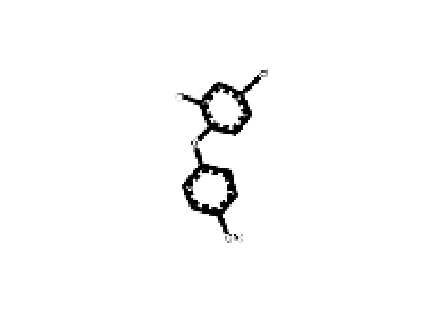 CC(=O)Oc1ccc(Oc2ccc(Cl)cc2Cl)cc1